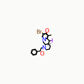 Cc1c2n(cc(Br)c1=O)CC1N(CC(=O)c3ccccc3)CCC[C@]1(C)C2I